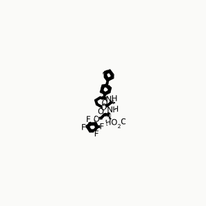 C[C@H](NC1(c2ccc(-c3ccccc3)cc2)CCCCO1)C(=O)N[C@@H](CC(=O)O)C(=O)COc1c(F)c(F)cc(F)c1F